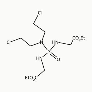 CCOC(=O)CNP(=O)(NCC(=O)OCC)N(CCCl)CCCl